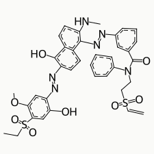 C=CS(=O)(=O)CCN(C(=O)c1cccc(/N=N/c2c(NC)ccc3c(O)c(/N=N/c4cc(OC)c(S(=O)(=O)CC)cc4O)ccc23)c1)c1ccccc1